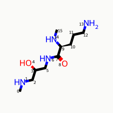 CNCC(O)CNC(=O)[C@H](CCCN)NC